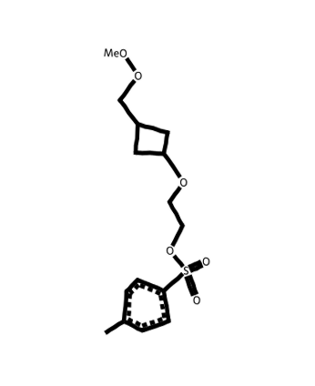 COOCC1CC(OCCOS(=O)(=O)c2ccc(C)cc2)C1